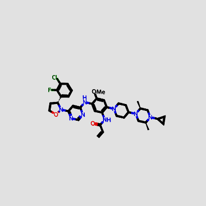 C=CC(=O)Nc1cc(Nc2cc(N3OCC[C@@H]3c3cccc(Cl)c3F)ncn2)c(OC)cc1N1CCC(N2C[C@H](C)N(C3CC3)C[C@@H]2C)CC1